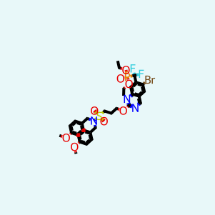 CCOP(=O)(OCC)C(F)(F)c1cc2nc(OCCCS(=O)(=O)N(Cc3ccc(OC)cc3)Cc3ccc(OC)cc3)ncc2cc1Br